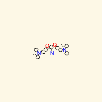 CC(C)c1ccccc1N(c1ccccc1)c1ccc2cc3c(cc2c1)oc1cc2oc4cc5cc(N(c6ccccc6)c6ccccc6C(C)C)ccc5cc4c2c(C#N)c13